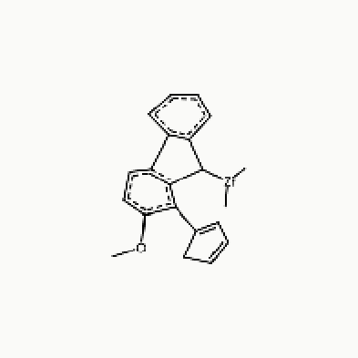 COc1ccc2c(c1C1=CC=CC1)[CH]([Zr]([CH3])[CH3])c1ccccc1-2